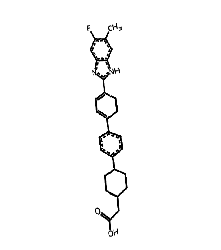 Cc1cc2[nH]c(C3=CC=C(c4ccc(C5CCC(CC(=O)O)CC5)cc4)CC3)nc2cc1F